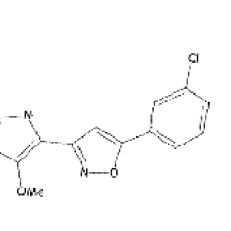 COC1=C(c2cc(-c3cccc(Cl)c3)on2)[N]C=C1